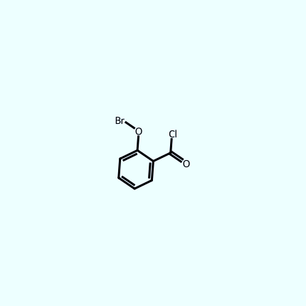 O=C(Cl)c1ccccc1OBr